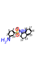 Nc1cccc(S(=O)(=O)NC2CCCc3ccccc32)c1